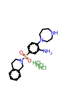 Cl.Cl.Cl.Nc1cc(S(=O)(=O)N2CCc3ccccc3C2)ccc1N1CCCNCC1